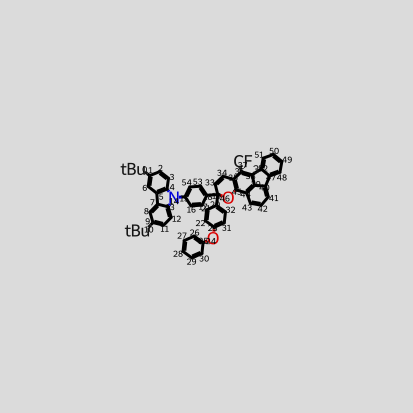 CC(C)(C)c1ccc2c(c1)c1cc(C(C)(C)C)ccc1n2-c1ccc(C2(c3ccc(Oc4ccccc4)cc3)C=Cc3c(C(F)(F)F)c4c5c(cccc5c3O2)-c2ccccc2-4)cc1